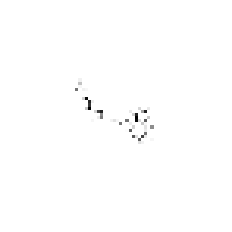 CN(C)C/C=C/C(=O)N1CC(OCCCN2CC[C@H](N)C(=O)N(C)c3cccc(Cl)c32)C1